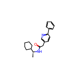 C[C@H](NC(=O)Cc1ccc(-c2ccccc2)nc1)C1CCCCC1